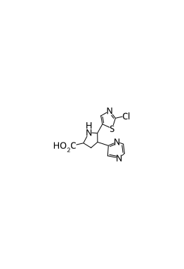 O=C(O)C1CC(c2cnccn2)C(c2cnc(Cl)s2)N1